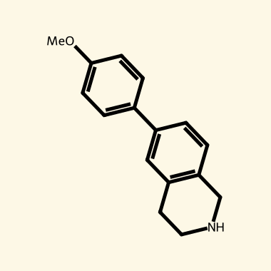 COc1ccc(-c2ccc3c(c2)CCNC3)cc1